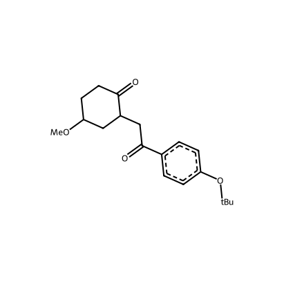 COC1CCC(=O)C(CC(=O)c2ccc(OC(C)(C)C)cc2)C1